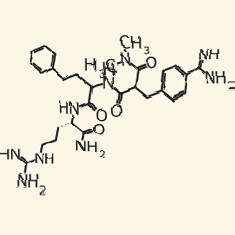 CN(C)C(=O)C(Cc1ccc(C(=N)N)cc1)C(=O)NC(CCc1ccccc1)C(=O)N[C@@H](CCCNC(=N)N)C(N)=O